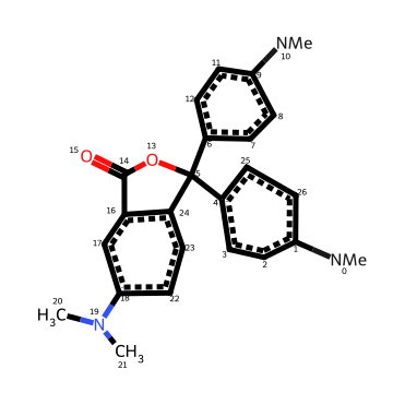 CNc1ccc(C2(c3ccc(NC)cc3)OC(=O)c3cc(N(C)C)ccc32)cc1